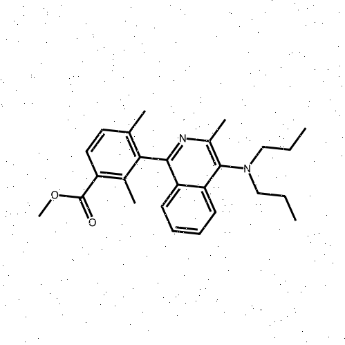 CCCN(CCC)c1c(C)nc(-c2c(C)ccc(C(=O)OC)c2C)c2ccccc12